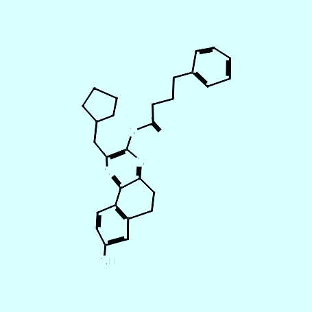 Nc1ccc2c(c1)CCc1nc(NC(=O)CCCc3ccccc3)c(CC3CCCC3)nc1-2